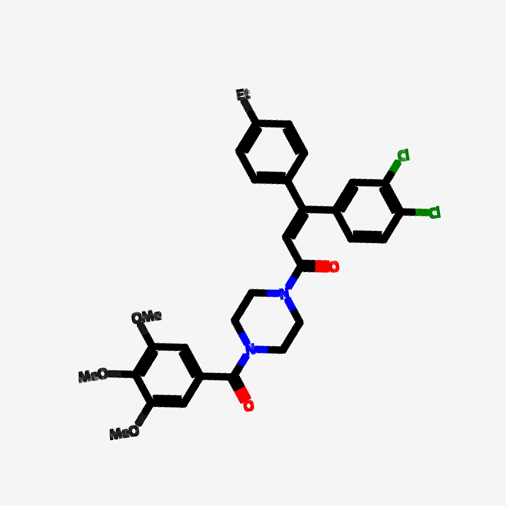 CCc1ccc(C(=CC(=O)N2CCN(C(=O)c3cc(OC)c(OC)c(OC)c3)CC2)c2ccc(Cl)c(Cl)c2)cc1